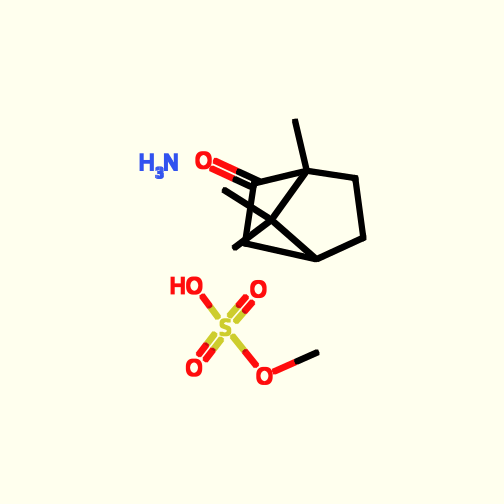 CC12CCC(CC1=O)C2(C)C.COS(=O)(=O)O.N